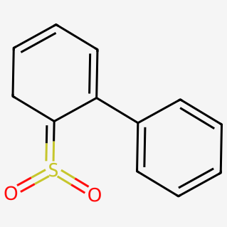 O=S(=O)=C1CC=CC=C1c1ccccc1